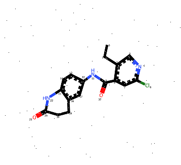 CCc1cnc(Cl)cc1C(=O)Nc1ccc2c(c1)CCC(=O)N2